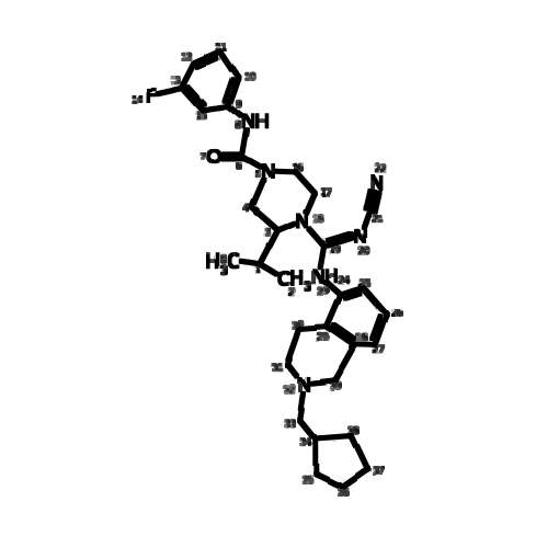 CC(C)C1CN(C(=O)Nc2cccc(F)c2)CCN1/C(=N\C#N)Nc1cccc2c1CCN(CC1CCCC1)C2